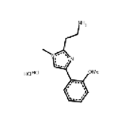 COc1ccccc1-c1cn(C)c(CCN)n1.Cl.Cl